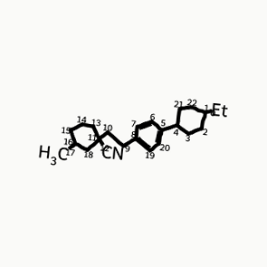 CCC1CCC(c2ccc(CCC3(C#N)CCCC(C)C3)cc2)CC1